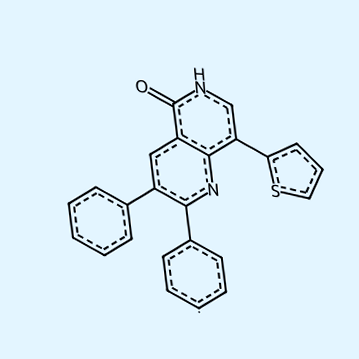 O=c1[nH]cc(-c2cccs2)c2nc(-c3cc[c]cc3)c(-c3ccccc3)cc12